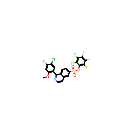 COc1cc(F)c(Cl)cc1-c1nccc2cc(S(=O)(=O)Oc3c(F)c(F)c(F)c(F)c3F)ccc12